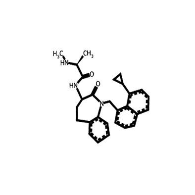 CN[C@@H](C)C(=O)NC1CCc2ccccc2N(Cc2cccc3cccc(C4CC4)c23)C1=O